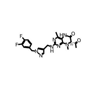 CC(=O)[C@H]1C(=O)Nc2c(C)nc(NCc3cnn(Cc4ccc(F)c(F)c4)c3)nc2N1C